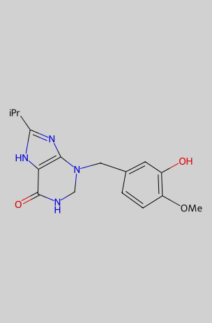 COc1ccc(CN2CNC(=O)c3[nH]c(C(C)C)nc32)cc1O